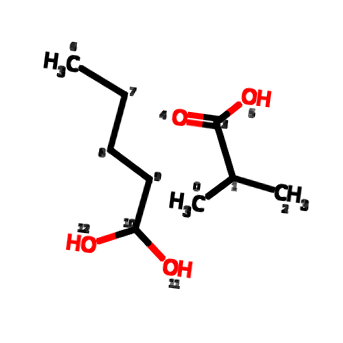 CC(C)C(=O)O.CCCCC(O)O